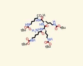 CC(C)(C)OC(=O)NCCCC[C@H](NC(=O)[C@H](CCCCNC(=O)OC(C)(C)C)NC(=O)[C@H](CCCCNC(=O)OC(C)(C)C)NC(=O)[C@@H](N)CCCCNC(=O)OC(C)(C)C)C(=O)O